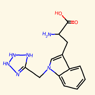 NC(Cc1cn(CC2=NNNN2)c2ccccc12)C(=O)O